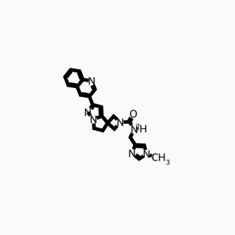 [2H]N(Cc1cn(C)cn1)C(=O)N1CC2(CCn3nc(-c4cnc5ccccc5c4)cc32)C1